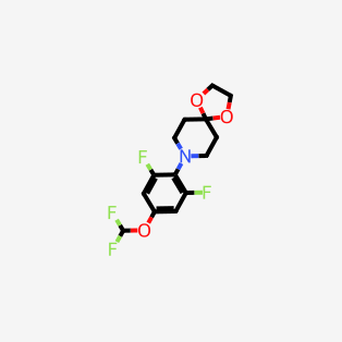 Fc1cc(OC(F)F)cc(F)c1N1CCC2(CC1)OCCO2